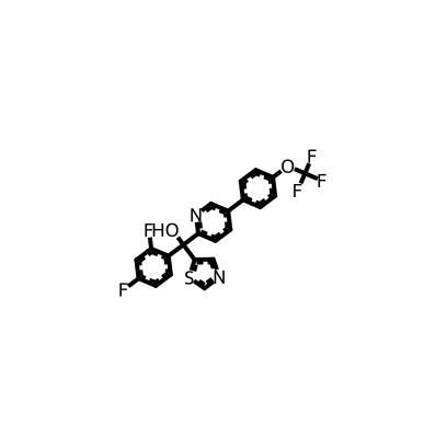 OC(c1ccc(-c2ccc(OC(F)(F)F)cc2)cn1)(c1cncs1)c1ccc(F)cc1F